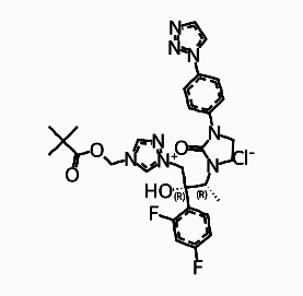 C[C@@H](N1CCN(c2ccc(-n3ccnn3)cc2)C1=O)[C@](O)(C[n+]1cn(COC(=O)C(C)(C)C)cn1)c1ccc(F)cc1F.[Cl-]